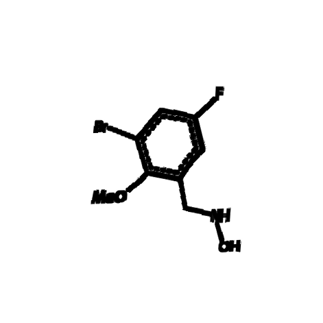 COc1c(Br)cc(F)cc1CNO